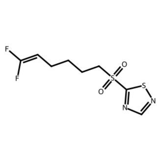 O=S(=O)(CCCCC=C(F)F)c1ncns1